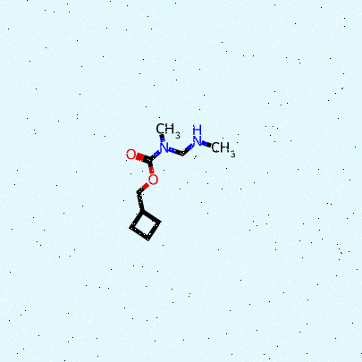 CNCN(C)C(=O)OCC1CCC1